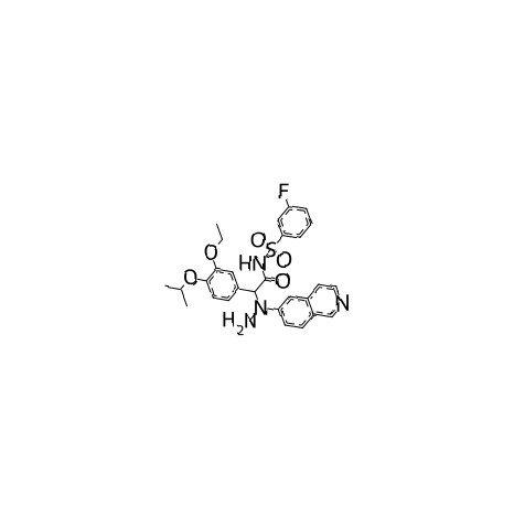 CCOc1cc(C(C(=O)NS(=O)(=O)c2cccc(F)c2)N(N)c2ccc3cnccc3c2)ccc1OC(C)C